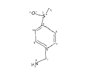 C[S+]([O-])c1ccc(CN)cc1